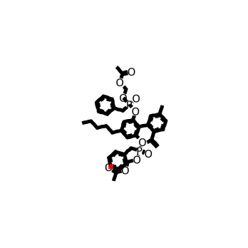 C=C(C)c1ccc(C)cc1-c1c(OP(=O)(Cc2ccccc2)OCOC(C)=O)cc(CCCCC)cc1OP(=O)(Cc1ccccc1)OCOC(C)=O